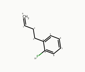 C=CCCc1ccccc1F